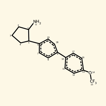 NC1CCCC1c1ccc(-c2ccc(OC(F)(F)F)cc2)cc1